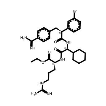 CCOC(=O)[C@H](CCCNC(=N)N)NC(=O)[C@@H](NC(=O)[C@@H](Cc1ccc(C(=N)N)cc1)c1cccc(Br)c1)C1CCCCC1